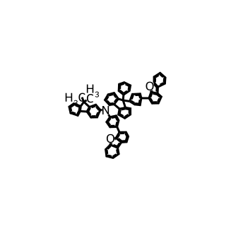 CC1(C)c2ccccc2-c2ccc(N(c3ccc(-c4cccc5c4oc4ccccc45)cc3)c3cccc4c3-c3ccccc3C4(c3ccccc3)c3ccc(-c4cccc5c4oc4ccccc45)cc3)cc21